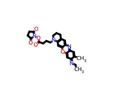 CC/N=c1/cc2oc3cc4c(cc3nc-2cc1C)CCCN4CCCC(=O)ON1C(=O)CCC1=O